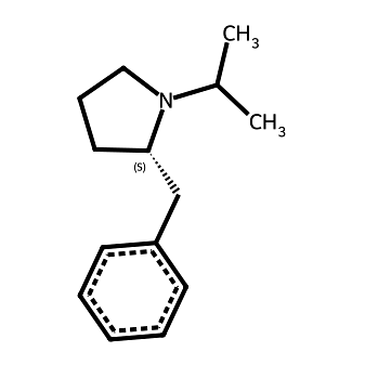 CC(C)N1CCC[C@H]1Cc1ccccc1